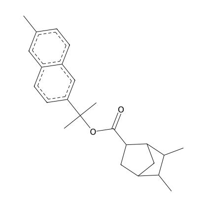 Cc1ccc2cc(C(C)(C)OC(=O)C3CC4CC3C(C)C4C)ccc2c1